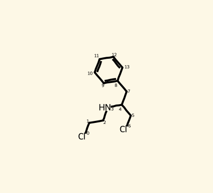 ClCCNC(CCl)Cc1ccccc1